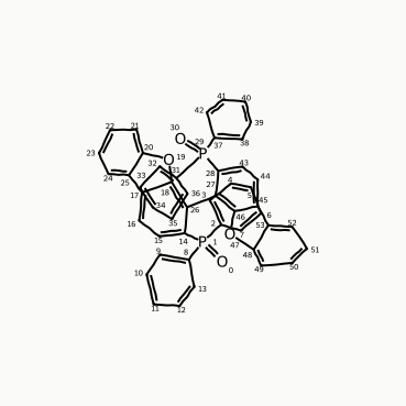 O=P(c1ccccc1)(c1ccccc1)c1ccc2c(oc3ccccc32)c1-c1c(P(=O)(c2ccccc2)c2ccccc2)ccc2c1oc1ccccc12